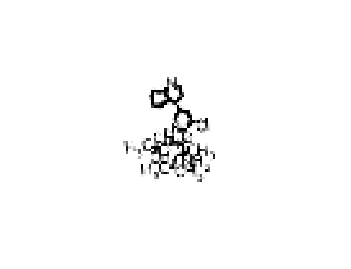 CC(C)CC(C)(N)[C@H](Oc1ncc(-c2ccnc3ccccc23)cc1Cl)C(=O)OC(C)(C)C